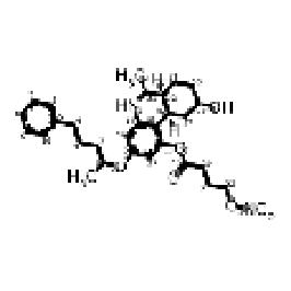 CC(CCCc1ccccc1)Oc1cc2c(c(OC(=O)CCCO[N+](=O)[O-])c1)[C@@H]1C[C@H](O)CC[C@H]1[C@H](C)N2